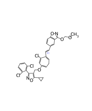 COCOc1noc2ccc(/C=C/C3=CCC=C(OCc4c(-c5c(Cl)cccc5Cl)noc4C4CC4)C=C3Cl)cc12